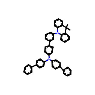 CC1(C)c2ccccc2N(c2cccc(-c3ccc(N(c4ccc(-c5ccccc5)cc4)c4ccc(-c5ccccc5)cc4)cc3)c2)c2ccccc21